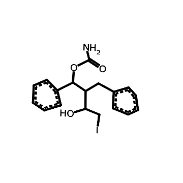 NC(=O)OC(c1ccccc1)C(Cc1ccccc1)C(O)CI